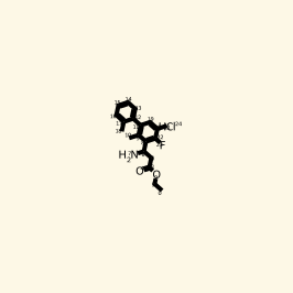 CCOC(=O)CC(N)c1c(C)c(-c2ccccc2C)cc(C)c1F.Cl